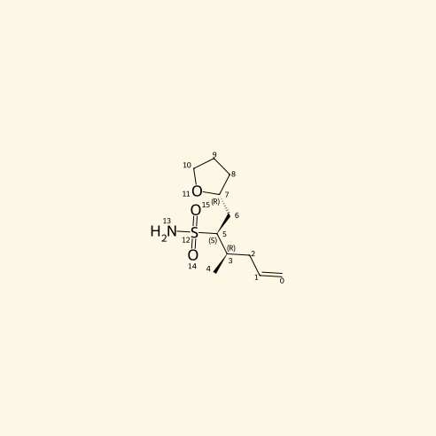 C=CC[C@@H](C)[C@H](C[C@H]1CCCO1)S(N)(=O)=O